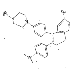 CC(C)N1CCN(c2ccc(C3=C(c4ccc(N(C)C)cc4)CCc4ccc(O)cc43)cc2)CC1